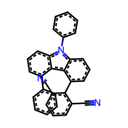 N#Cc1cccc(C#N)c1-c1cccc2c1c1c(-c3ccccc3)cccc1n2-c1ccccc1